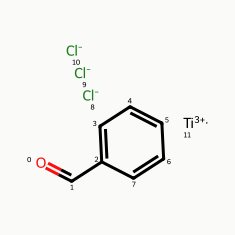 O=Cc1ccccc1.[Cl-].[Cl-].[Cl-].[Ti+3]